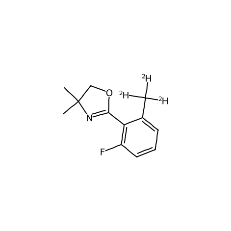 [2H]C([2H])([2H])c1cccc(F)c1C1=NC(C)(C)CO1